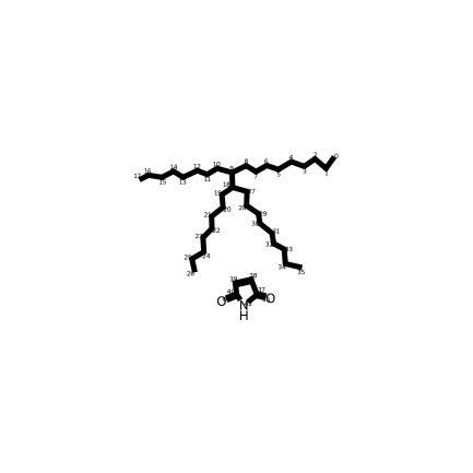 CCCCCCCCCC(CCCCCCCC)C(CCCCCCCC)CCCCCCCCC.O=C1C=CC(=O)N1